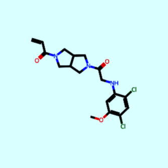 C=CC(=O)N1CC2CN(C(=O)CNc3cc(OC)c(Cl)cc3Cl)CC2C1